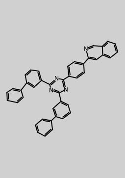 c1ccc(-c2cccc(-c3nc(-c4ccc(-c5cc6ccccc6cn5)cc4)nc(-c4cccc(-c5ccccc5)c4)n3)c2)cc1